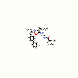 CNCC(NC)C(=O)NCCNC(=O)[C@H](CC(=O)O)NC(=O)[C@H](Cc1ccc(-c2ccccc2)cc1)NC(C)=O